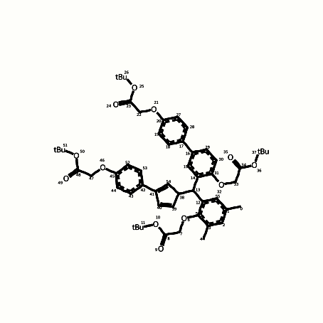 Cc1cc(C)c(OCC(=O)OC(C)(C)C)c(C(c2cc(-c3ccc(OCC(=O)OC(C)(C)C)cc3)ccc2OCC(=O)OC(C)(C)C)C2C=CC(c3ccc(OCC(=O)OC(C)(C)C)cc3)=C2)c1